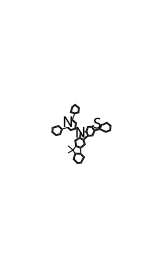 CC1(C)c2ccccc2-c2cc3c4cc5c(cc4n(-c4cc(-c6ccccc6)nc(-c6ccccc6)c4)c3cc21)sc1ccccc15